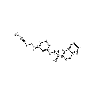 CCCCC#CCCOc1cccc(CNC(=O)c2ccc3ncccc3c2)c1